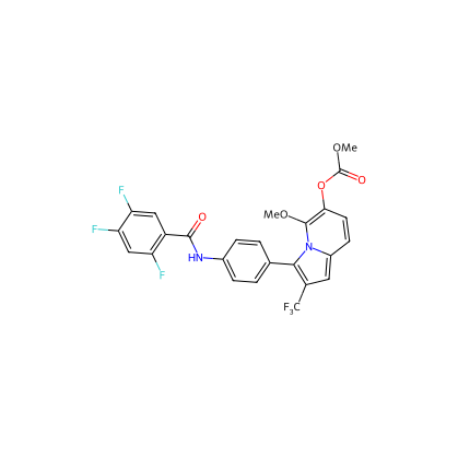 COC(=O)Oc1ccc2cc(C(F)(F)F)c(-c3ccc(NC(=O)c4cc(F)c(F)cc4F)cc3)n2c1OC